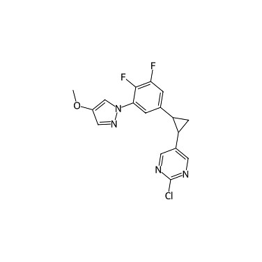 COc1cnn(-c2cc(C3CC3c3cnc(Cl)nc3)cc(F)c2F)c1